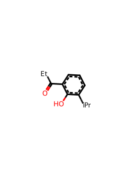 CCC(=O)c1cccc(C(C)C)c1O